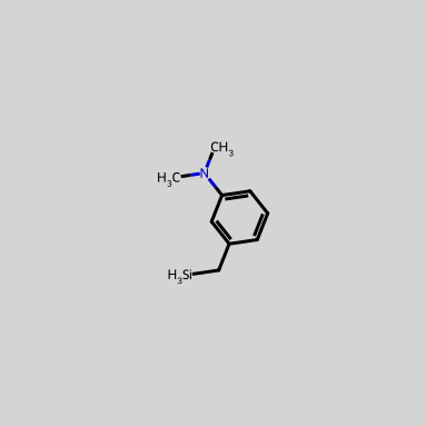 CN(C)c1cccc(C[SiH3])c1